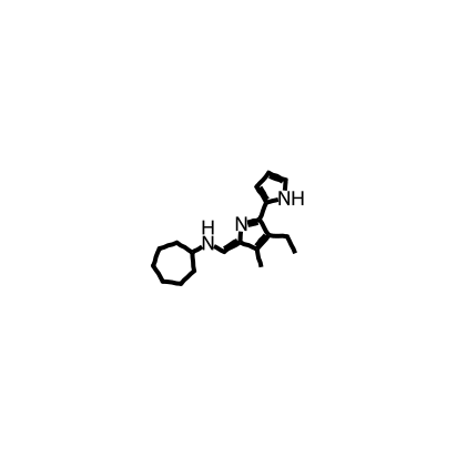 CCC1=C(C)/C(=C/NC2CCCCCC2)N=C1c1ccc[nH]1